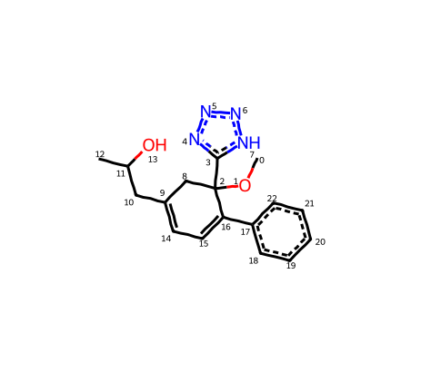 COC1(c2nnn[nH]2)CC(CC(C)O)=CC=C1c1ccccc1